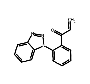 C=CC(=O)c1ccccc1-n1nnc2ccccc21